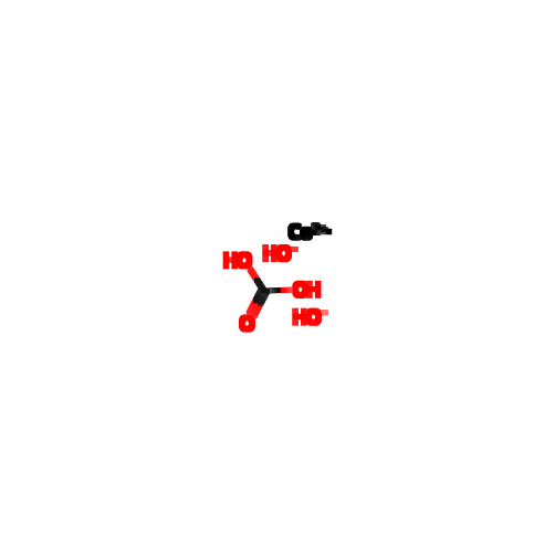 O=C(O)O.[Co+2].[OH-].[OH-]